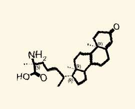 CC(CCC[C@](C)(N)C(=O)O)[C@H]1CCC2C3CCC4=CC(=O)CC[C@]4(C)C3CC[C@@]21C